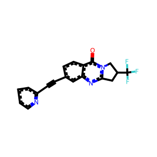 O=c1c2ccc(C#Cc3ccccn3)cc2nc2n1CC(C(F)(F)F)C2